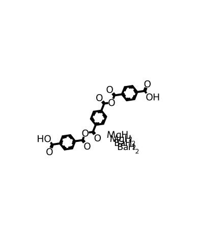 O=C(O)c1ccc(C(=O)OC(=O)c2ccc(C(=O)OC(=O)c3ccc(C(=O)O)cc3)cc2)cc1.[BaH2].[BaH2].[MgH2].[MgH2]